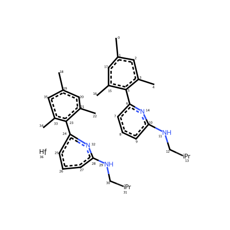 Cc1cc(C)c(-c2cccc(NCC(C)C)n2)c(C)c1.Cc1cc(C)c(-c2cccc(NCC(C)C)n2)c(C)c1.[Hf]